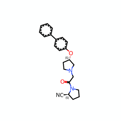 N#C[C@@H]1CCCN1C(=O)CN1CC[C@H](Oc2ccc(-c3ccccc3)cc2)C1